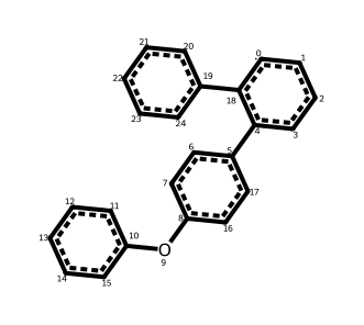 [c]1cccc(-c2ccc(Oc3ccccc3)cc2)c1-c1ccccc1